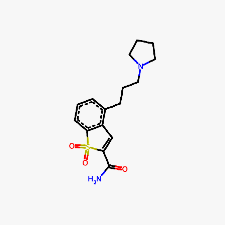 NC(=O)C1=Cc2c(CCCN3CCCC3)cccc2S1(=O)=O